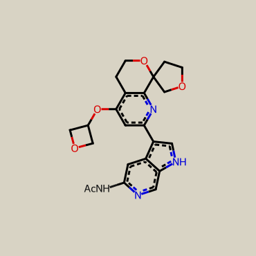 CC(=O)Nc1cc2c(-c3cc(OC4COC4)c4c(n3)C3(CCOC3)OCC4)c[nH]c2cn1